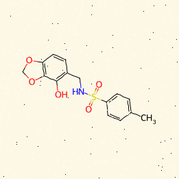 Cc1ccc(S(=O)(=O)NCc2ccc3c(c2O)OCO3)cc1